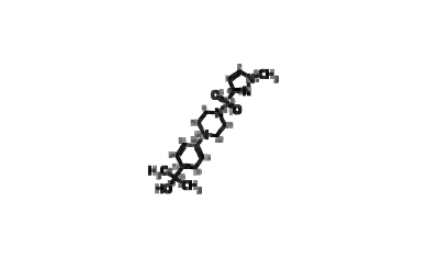 Cn1ccc(S(=O)(=O)N2CCN(c3ccc(C(C)(C)O)cc3)CC2)n1